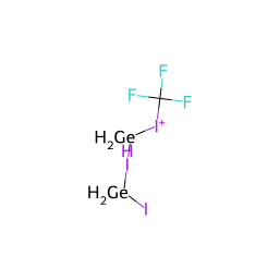 FC(F)(F)[I+][GeH2][IH][GeH2][I]